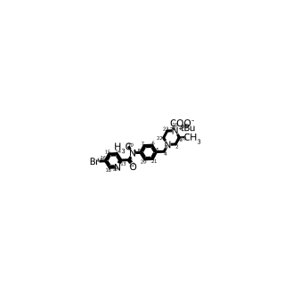 C[C@H]1CN(Cc2ccc(N(C)C(=O)c3ccc(Br)cn3)cc2)CC[N+]1(C(=O)[O-])C(C)(C)C